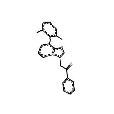 Cc1cccc(C)c1-c1cccn2c(CC(=O)c3ccccc3)cnc12